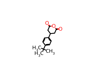 CC(C)(C)c1ccc(C2CC(=O)OC(=O)C2)cc1